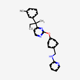 CC(CC(=O)O)(c1cccc(C#N)c1)c1ccnc(Oc2ccc(CNc3ccccn3)cc2)n1